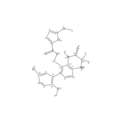 COc1ccc(C(=O)OCc2c(-c3cc(Cl)ccc3OC)ccc3c2N(C)C(=O)C(C)(C)N3)o1